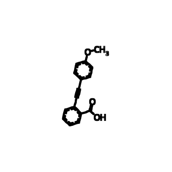 COc1ccc(C#Cc2ccccc2C(=O)O)cc1